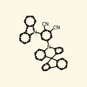 N#Cc1cc(N2c3ccccc3C3(c4ccccc4-c4ccccc43)c3ccccc32)cc(-n2c3ccccc3c3ccccc32)c1C#N